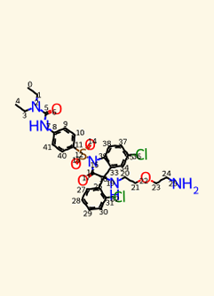 CCN(CC)C(=O)Nc1ccc(S(=O)(=O)N2C(=O)C(NCCOCCN)(c3ccccc3Cl)c3cc(Cl)ccc32)cc1